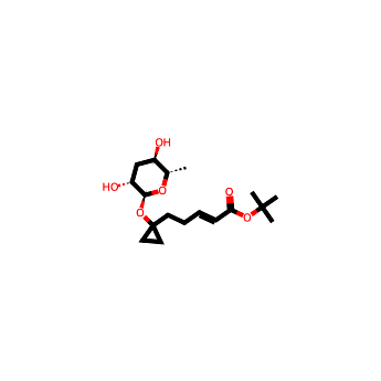 C[C@@H]1O[C@@H](OC2(CC/C=C/C(=O)OC(C)(C)C)CC2)[C@H](O)C[C@H]1O